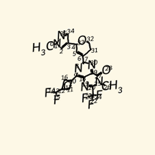 Cn1cc(C2C=C(c3nc(C45CC(C(F)F)(C4)C5)c4nc(C(F)(F)F)n(C)c(=O)c4n3)CCO2)cn1